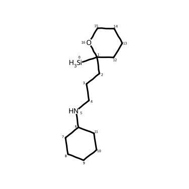 [SiH3]C1(CCCNC2CCCCC2)CCCCO1